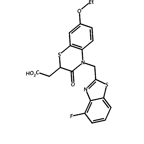 CCOc1ccc2c(c1)SC(CC(=O)O)C(=O)N2Cc1nc2c(F)cccc2s1